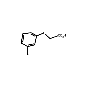 [CH2]c1cccc(OCC(=O)O)c1